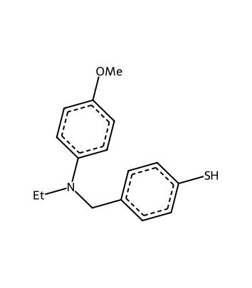 CCN(Cc1ccc(S)cc1)c1ccc(OC)cc1